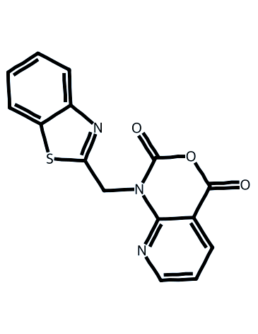 O=c1oc(=O)n(Cc2nc3ccccc3s2)c2ncccc12